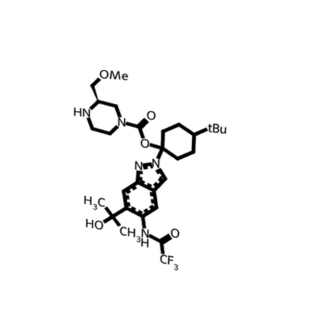 COC[C@H]1CN(C(=O)OC2(n3cc4cc(NC(=O)C(F)(F)F)c(C(C)(C)O)cc4n3)CCC(C(C)(C)C)CC2)CCN1